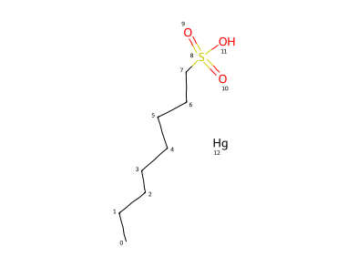 CCCCCCCCS(=O)(=O)O.[Hg]